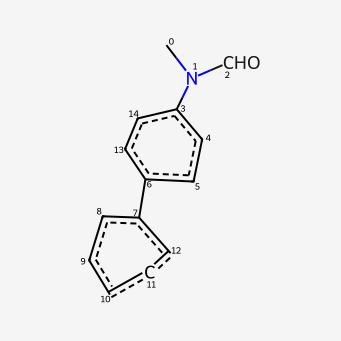 CN(C=O)c1ccc(-c2ccccc2)cc1